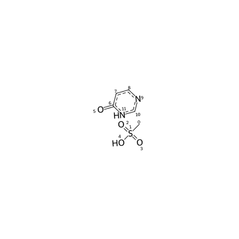 CS(=O)(=O)O.O=c1ccnc[nH]1